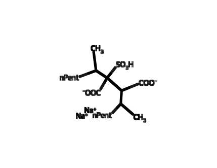 CCCCCC(C)C(C(=O)[O-])C(C(=O)[O-])(C(C)CCCCC)S(=O)(=O)O.[Na+].[Na+]